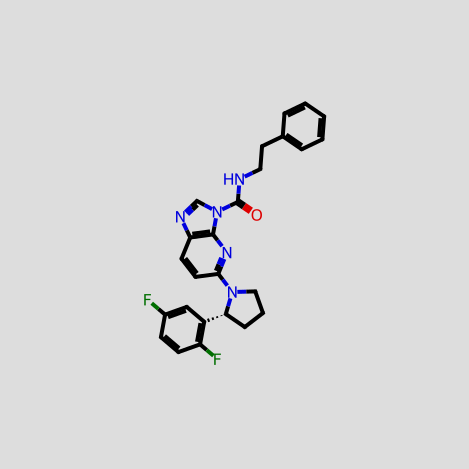 O=C(NCCc1ccccc1)n1cnc2ccc(N3CCC[C@@H]3c3cc(F)ccc3F)nc21